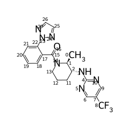 C[C@H]1[C@H](Nc2ncc(C(F)(F)F)cn2)CCCN1C(=O)c1ccccc1-n1nccn1